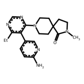 CCc1ncnc(N2CCC3(CCN(C)C3=O)CC2)c1-c1ccc(N)nc1